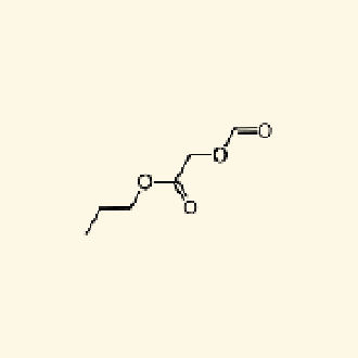 CCCOC(=O)COC=O